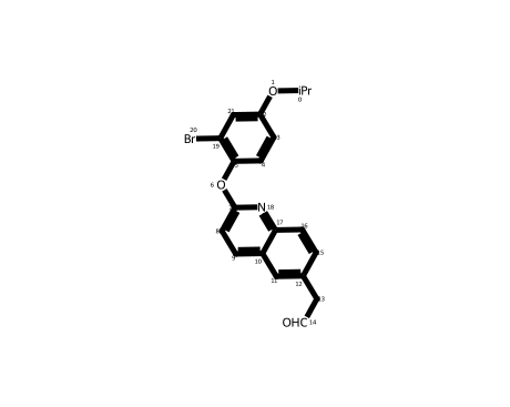 CC(C)Oc1ccc(Oc2ccc3cc(CC=O)ccc3n2)c(Br)c1